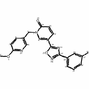 COc1ccc(Cn2cc(-c3nc(-c4cccc(C)c4)no3)ccc2=O)cn1